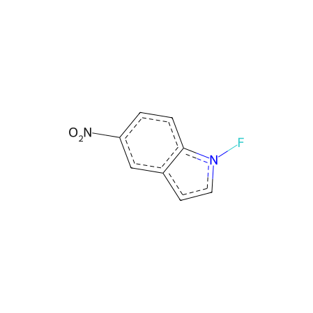 O=[N+]([O-])c1ccc2c(ccn2F)c1